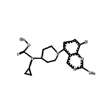 CSc1ncc2c(N3CCC(N(C(=O)OC(C)(C)C)C4CC4)CC3)ccc(Br)c2n1